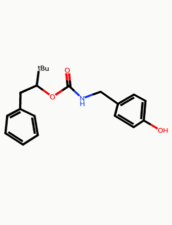 CC(C)(C)C(Cc1ccccc1)OC(=O)NCc1ccc(O)cc1